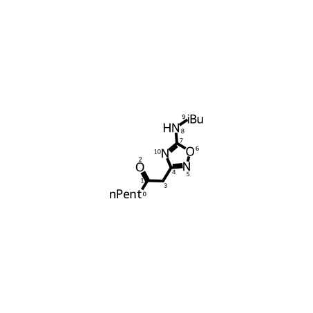 CCCCCC(=O)Cc1noc(NC(C)CC)n1